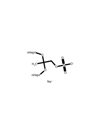 CCCCCCCOC(C)(COS(=O)(=O)[O-])OCCCCCCC.[Na+]